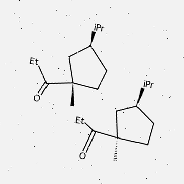 CCC(=O)[C@@]1(C)CC[C@H](C(C)C)C1.CCC(=O)[C@]1(C)CC[C@H](C(C)C)C1